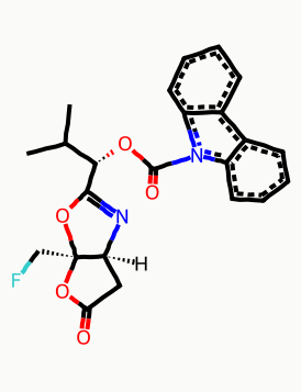 CC(C)[C@H](OC(=O)n1c2ccccc2c2ccccc21)C1=N[C@H]2CC(=O)O[C@@]2(CF)O1